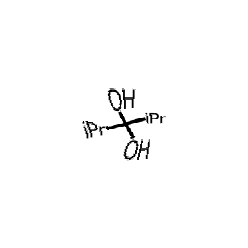 CC(C)C(O)(O)C(C)C